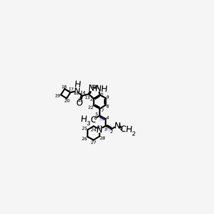 C=N/C=C(\C=C(/C)c1ccc2[nH]nc(C(=O)NC3CCC3)c2c1)N1CCCCC1